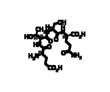 C[C@@H](O)[C@H](NC(=O)[C@@H](N)CCC(=O)O)C(=O)N[C@@H](CO)C(=O)N[C@@H](CCC(N)=O)C(=O)O